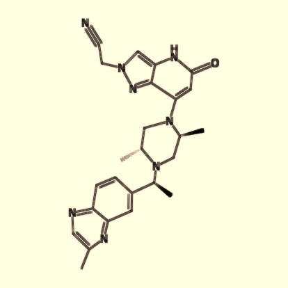 Cc1cnc2ccc([C@H](C)N3C[C@H](C)N(c4cc(=O)[nH]c5cn(CC#N)nc45)C[C@H]3C)cc2n1